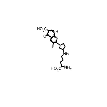 NC(CCCNC1CCN(c2nc3[nH]cc(C(=O)O)c(=O)c3cc2F)C1)C(=O)O